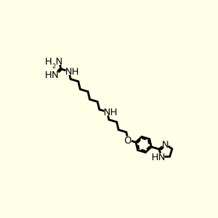 N=C(N)NCCCCCCCNCCCCOc1ccc(C2=NCCN2)cc1